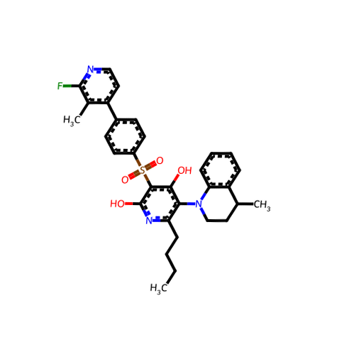 CCCCc1nc(O)c(S(=O)(=O)c2ccc(-c3ccnc(F)c3C)cc2)c(O)c1N1CCC(C)c2ccccc21